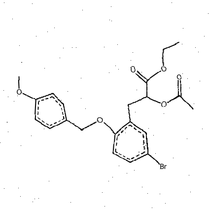 CCOC(=O)C(Cc1cc(Br)ccc1OCc1ccc(OC)cc1)OC(C)=O